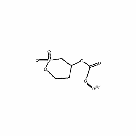 CCCOC(=O)OC1CCOS(=O)(=O)C1